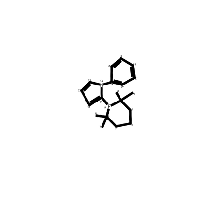 CC1(C)CCCC(C)(C)P1c1cccn1-c1ccccc1